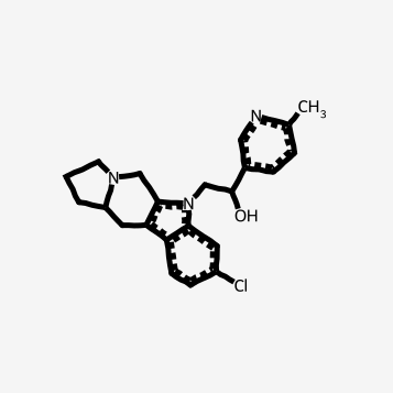 Cc1ccc(C(O)Cn2c3c(c4ccc(Cl)cc42)CC2CCCN2C3)cn1